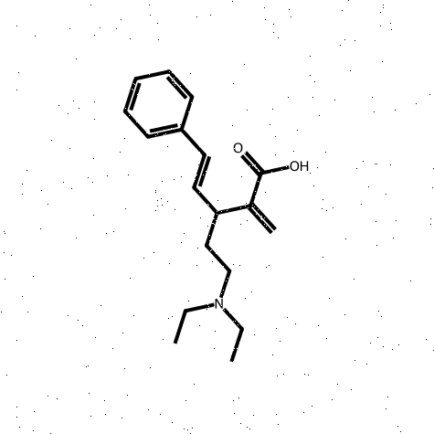 C=C(C(=O)O)C(C=Cc1ccccc1)CCN(CC)CC